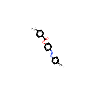 Cc1ccc(/N=N/c2ccc(OC(=O)c3ccc(C)cc3)cc2)cc1